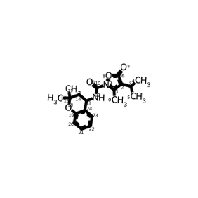 Cc1c(C(C)C)c(=O)on1C(=O)NC1CC(C)(C)Oc2ccccc21